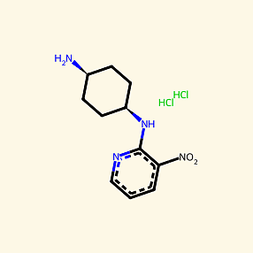 Cl.Cl.N[C@H]1CC[C@@H](Nc2ncccc2[N+](=O)[O-])CC1